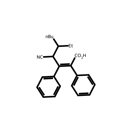 CCCCC(CC)C(C#N)C(=C(C(=O)O)c1ccccc1)c1ccccc1